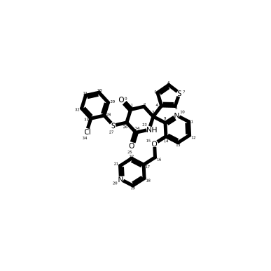 O=C1CC(c2ccsc2)(c2ncccc2OCc2ccncc2)NC(=O)C1Sc1ccccc1Cl